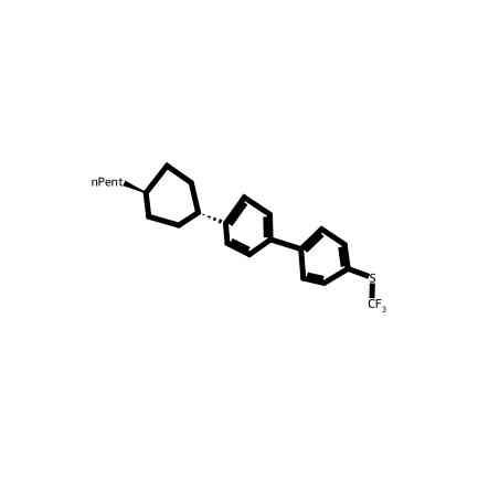 CCCCC[C@H]1CC[C@H](c2ccc(-c3ccc(SC(F)(F)F)cc3)cc2)CC1